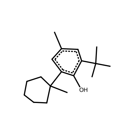 Cc1cc(C(C)(C)C)c(O)c(C2(C)CCCCC2)c1